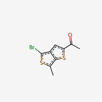 CC(=O)c1cc2c(Br)sc(C)c2s1